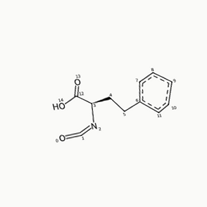 O=C=N[C@H](CCc1ccccc1)C(=O)O